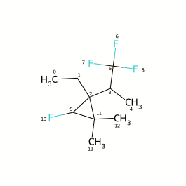 CCC1(C(C)C(F)(F)F)C(F)C1(C)C